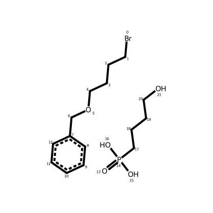 BrCCCCOCc1ccccc1.O=P(O)(O)CCCCO